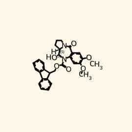 COc1cc2c(cc1OC)N(C(=O)OCC1c3ccccc3-c3ccccc31)[C@@H](O)[C@@H]1CCCN1C2=O